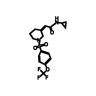 O=C(/C=C1/CCCN(S(=O)(=O)c2ccc(OC(F)(F)F)cc2)C1)NC1CC1